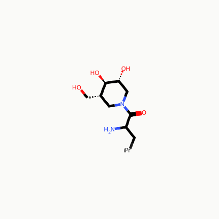 CC(C)CC(N)C(=O)N1C[C@H](CO)[C@@H](O)[C@H](O)C1